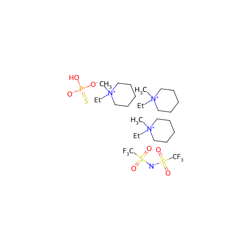 CC[N+]1(C)CCCCC1.CC[N+]1(C)CCCCC1.CC[N+]1(C)CCCCC1.O=S(=O)([N-]S(=O)(=O)C(F)(F)F)C(F)(F)F.[O-]P([O-])(O)=S